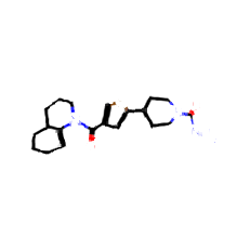 NC(=O)N1CCC(c2cc(C(=O)N3CCCC4CCCC=C43)cs2)CC1